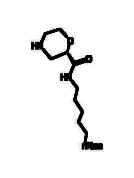 CCCCCCCCCCCCCCNC(=O)[C@H]1CNCCO1